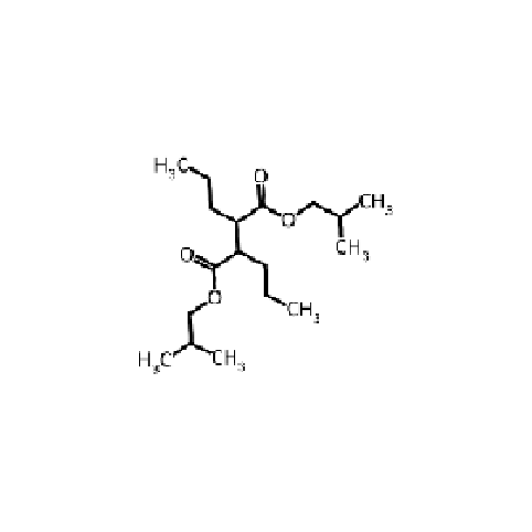 CCCC(C(=O)OCC(C)C)C(CCC)C(=O)OCC(C)C